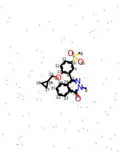 Cn1nc(-c2cc(S(C)(=O)=O)ccc2OCC2CC2)c2ccccc2c1=O